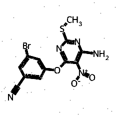 CSc1nc(N)c([N+](=O)[O-])c(Oc2cc(Br)cc(C#N)c2)n1